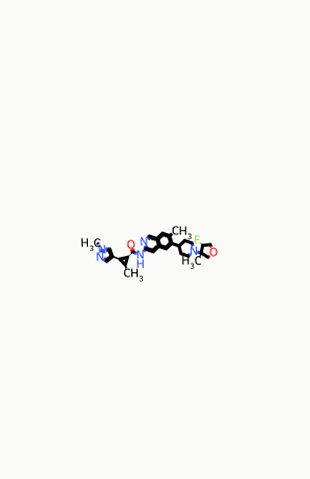 Cc1cc2cnc(NC(=O)[C@@H]3[C@@H](C)[C@H]3c3cnn(C)c3)cc2cc1C1CCN([C@]2(C)COC[C@@H]2F)CC1